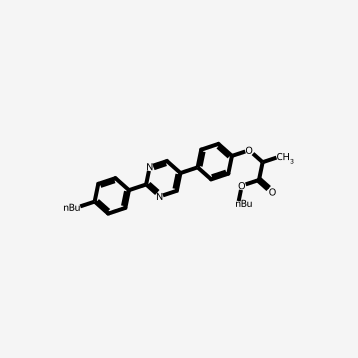 CCCCOC(=O)C(C)Oc1ccc(-c2cnc(-c3ccc(CCCC)cc3)nc2)cc1